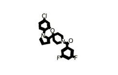 O=C(c1cc(F)cc(F)c1)N1CCC2(CC1)Oc1cc(Cl)ccc1-n1cccc12